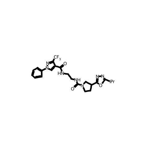 CC(C)c1nnc(C2CCN(C(=O)NCCNC(=O)c3cn(-c4ccccc4)nc3C(F)(F)F)C2)o1